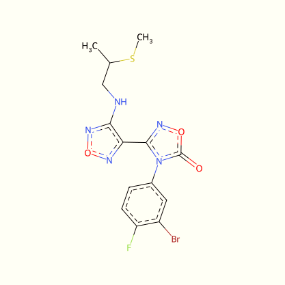 CSC(C)CNc1nonc1-c1noc(=O)n1-c1ccc(F)c(Br)c1